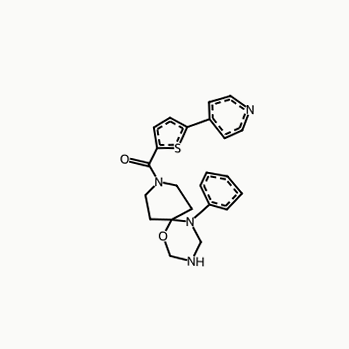 O=C(c1ccc(-c2ccncc2)s1)N1CCC2(CC1)OCNCN2c1ccccc1